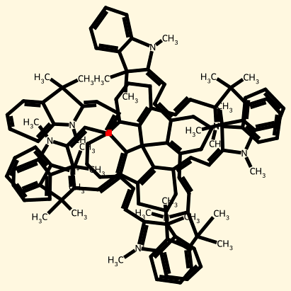 CN1C(=CC=C2CCCC(C=CC3=[N+](C)c4ccccc4C3(C)C)=C2C(C2=C(C=CC3=[N+](C)c4ccccc4C3(C)C)CCCC2=CC=C2N(C)c3ccccc3C2(C)C)(C2=C(C=CC3=[N+](C)c4ccccc4C3(C)C)CCCC2=CC=C2N(C)c3ccccc3C2(C)C)C2=C(C=CC3N(C)c4ccccc4C3(C)C)CCCC2=CC=C2N(C)c3ccccc3C2(C)C)C(C)(C)c2ccccc21